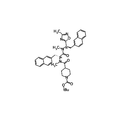 Cc1noc([C@@H](Cc2ccc3ccccc3c2)N(C)C(=O)[C@@H](Cc2ccc3ccccc3c2)N(C)C(=O)C2CCN(C(=O)OC(C)(C)C)CC2)n1